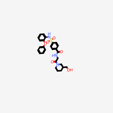 O=C(NCC(=O)N1CCCC(CO)C1)c1ccc(S(=O)(=O)Nc2ccccc2Oc2ccccc2)cc1